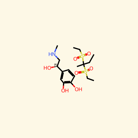 CCC(C)(S(=O)(=O)CC)S(=O)(=O)CC.CNC[C@H](O)c1ccc(O)c(O)c1